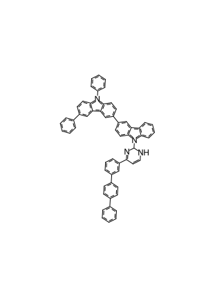 C1=CC(c2cccc(-c3ccc(-c4ccccc4)cc3)c2)=NC(n2c3ccccc3c3cc(-c4ccc5c(c4)c4cc(-c6ccccc6)ccc4n5-c4ccccc4)ccc32)N1